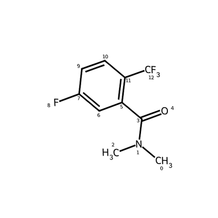 CN(C)C(=O)c1cc(F)ccc1C(F)(F)F